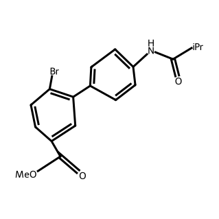 COC(=O)c1ccc(Br)c(-c2ccc(NC(=O)C(C)C)cc2)c1